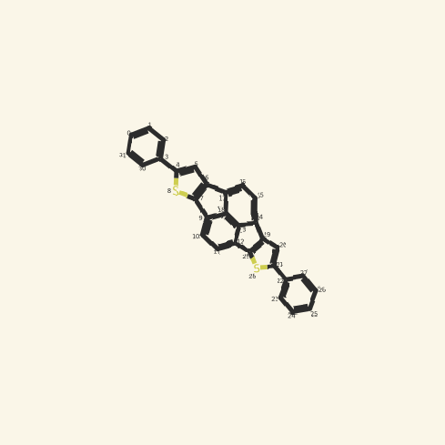 c1ccc(-c2cc3c(s2)-c2ccc4c5c(ccc-3c25)-c2cc(-c3ccccc3)sc2-4)cc1